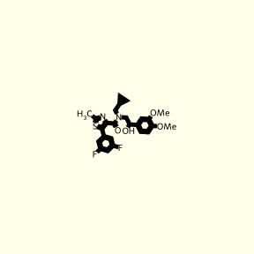 COc1ccc(C(O)CN(CC2CC2)C(=O)c2nc(C)sc2-c2cc(F)cc(F)c2)cc1OC